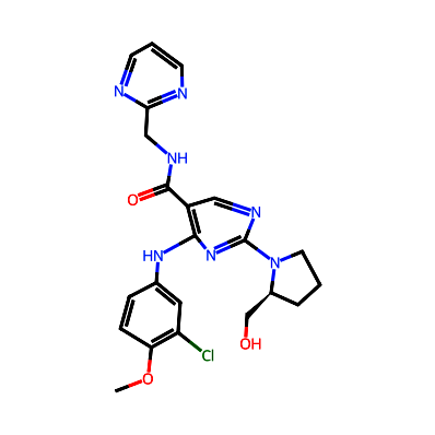 COc1ccc(Nc2nc(N3CCC[C@H]3CO)ncc2C(=O)NCc2ncccn2)cc1Cl